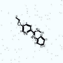 CCOc1ccc(C(=Nc2ccccc2)SC)nc1